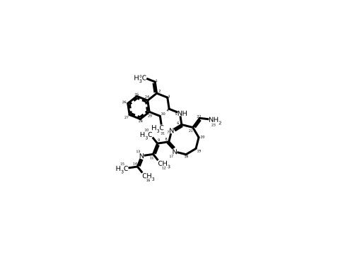 C/C=C(/CCN/C1=N/C(C(/C)=C(\C)N=C(C)C)=N\CCC\C1=C/N)c1ccccc1CC